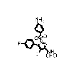 Nc1ccc(S(=O)(=O)n2nc(NC=O)c(Cl)c2-c2ccc(F)cc2)cc1